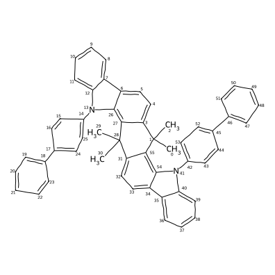 CC1(C)c2ccc3c4ccccc4n(-c4ccc(-c5ccccc5)cc4)c3c2C(C)(C)c2ccc3c4ccccc4n(-c4ccc(-c5ccccc5)cc4)c3c21